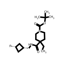 CCC1(C(=O)NC[C@H]2C[C@@H](F)C2)CCN(C(=O)OC(C)(C)C)CC1